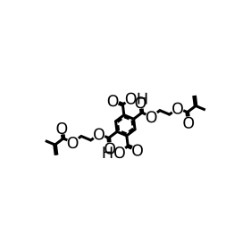 C=C(C)C(=O)OCCOC(=O)c1cc(C(=O)O)c(C(=O)OCCOC(=O)C(=C)C)cc1C(=O)O